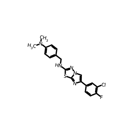 CN(C)c1ccc(CNc2nn3cc(-c4ccc(F)c(Cl)c4)nc3s2)cc1